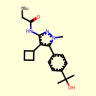 Cn1nc(NC(=O)CC(C)(C)C)c(C2CCC2)c1-c1ccc(C(C)(C)O)cc1